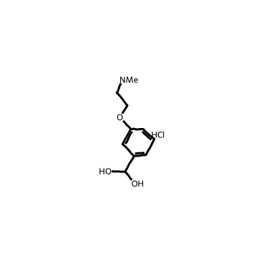 CNCCOc1cccc(C(O)O)c1.Cl